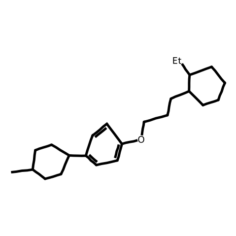 CCC1CCCCC1CCCOc1ccc(C2CCC(C)CC2)cc1